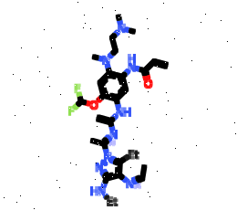 C=CC(=O)Nc1cc(NC(=C)/N=C(\C)n2nc(NCC)c(/N=C\C)c2CC)c(OC(F)F)cc1N(C)CCN(C)C